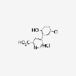 Cl.O=C(O)c1cc(-c2cc(Cl)ccc2O)ccn1